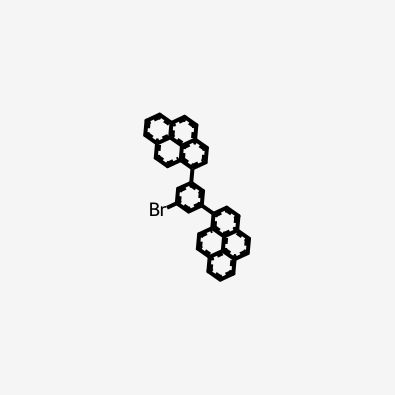 Brc1cc(-c2ccc3ccc4cccc5ccc2c3c45)cc(-c2ccc3ccc4cccc5ccc2c3c45)c1